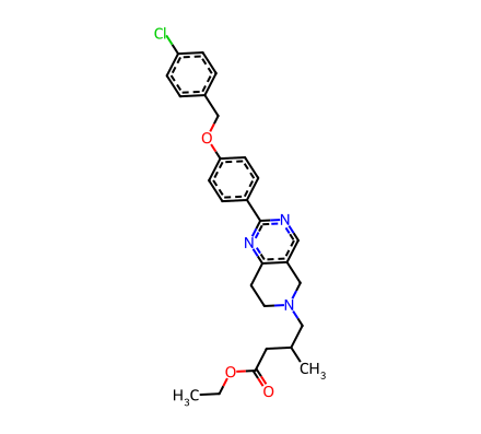 CCOC(=O)CC(C)CN1CCc2nc(-c3ccc(OCc4ccc(Cl)cc4)cc3)ncc2C1